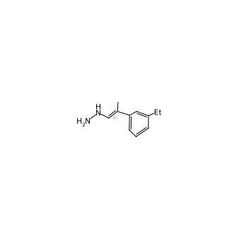 CCc1cccc(/C(C)=C/NN)c1